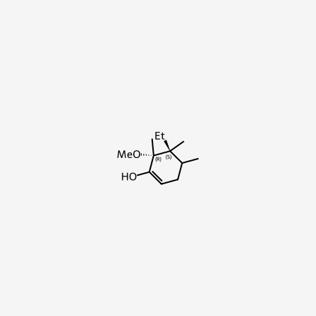 CC[C@@]1(C)C(C)CC=C(O)[C@]1(C)OC